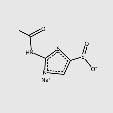 CC(=O)Nc1ncc(S(=O)[O-])s1.[Na+]